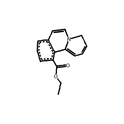 CCOC(=O)c1cccc2c1C1=CC=CCN1C=C2